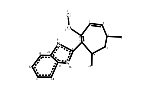 CC1C=CC(OCl)=C(c2nc3ccccc3s2)C(C)C1